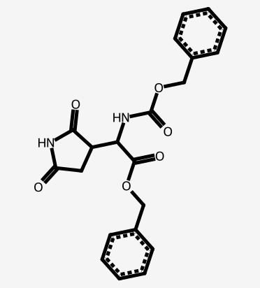 O=C1CC(C(NC(=O)OCc2ccccc2)C(=O)OCc2ccccc2)C(=O)N1